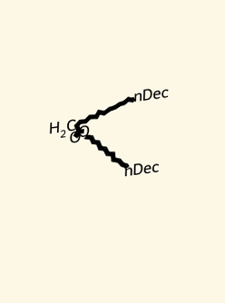 C=C(CCCCCCCCCCCCCCCCCCCCCC)C(=O)OCCCCCCCCCCCCCCCCCCCCCC